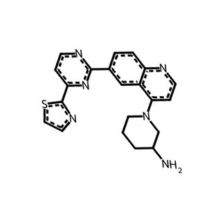 NC1CCCN(c2ccnc3ccc(-c4nccc(-c5nccs5)n4)cc23)C1